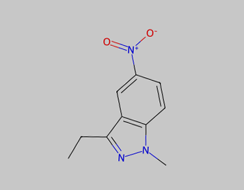 CCc1nn(C)c2ccc([N+](=O)[O-])cc12